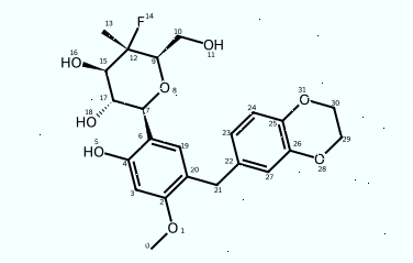 COc1cc(O)c([C@@H]2O[C@H](CO)[C@@](C)(F)[C@H](O)[C@H]2O)cc1Cc1ccc2c(c1)OCCO2